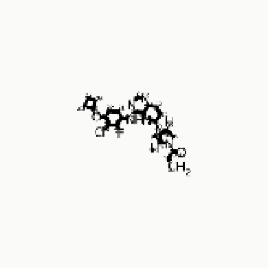 C=CC(=O)N1C[C@@H]2C[C@H]1CN2c1ccc2ncnc(Nc3ccc(OC4CCC4)c(Cl)c3F)c2n1